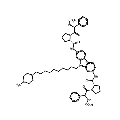 CN1CCN(CCCCCCCCCCn2c3cc(NC(=O)[C@@H]4CCCN4C(=O)C(NC(=O)O)c4ccccc4)ccc3c3ccc(NC(=O)[C@@H]4CCCN4C(=O)C(NC(=O)O)c4ccccc4)cc32)CC1